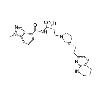 Cn1ncc2c(C(=O)NC(CCN3CC[C@H](CCc4ccc5c(n4)NCCC5)C3)C(=O)O)cccc21